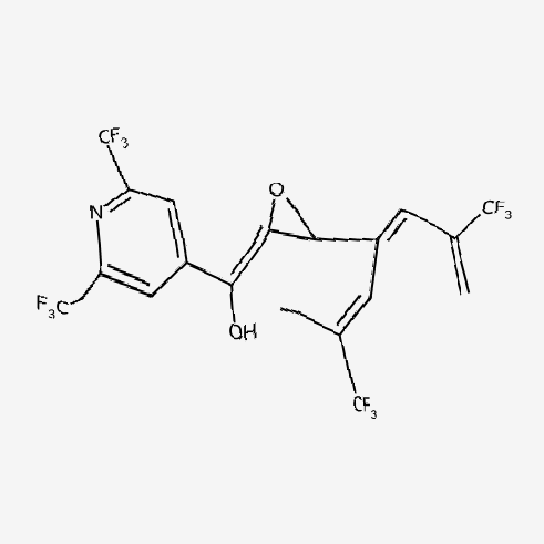 C=C(/C=C(\C=C(/C)C(F)(F)F)C1O/C1=C(/O)c1cc(C(F)(F)F)nc(C(F)(F)F)c1)C(F)(F)F